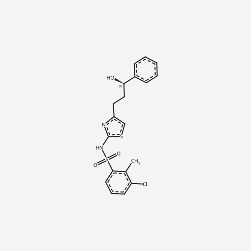 Cc1c(Cl)cccc1S(=O)(=O)Nc1nc(CC[C@@H](O)c2ccccc2)cs1